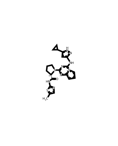 Cc1cnc(NC(=O)[C@@H]2CCCN2c2nc(Nc3cc(C4CC4)[nH]n3)n3cccc3n2)s1